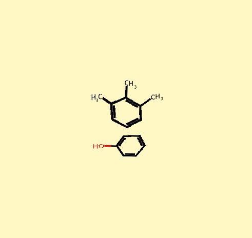 Cc1cccc(C)c1C.Oc1ccccc1